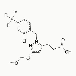 COCOc1cc(C=CC(=O)O)n(Cc2ccc(C(F)(F)F)cc2Cl)n1